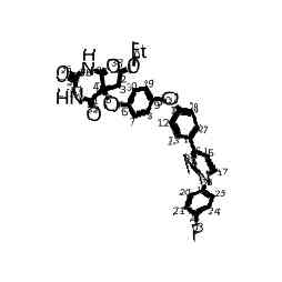 CCOCCC1(Oc2ccc(Oc3ccc(-c4ccn(-c5ccc(F)cc5)n4)cc3)cc2)C(=O)NC(=O)NC1=O